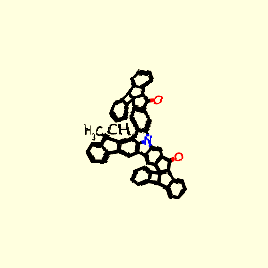 CC1(C)c2ccccc2-c2cc3c4cc5c(cc4n4c6cc7c(cc6c(c21)c34)C12c3ccccc3C1c1ccccc1C2C7=O)C(=O)C1c2ccccc2C2c3ccccc3C512